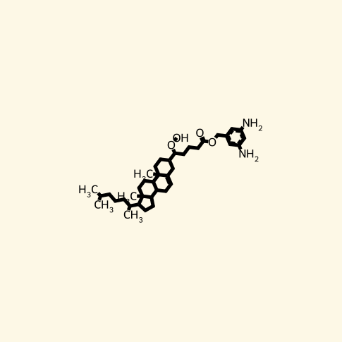 CC(C)CCCC(C)C1CCC2C3CC=C4CC(C(CCCC(=O)OCc5cc(N)cc(N)c5)OO)CCC4(C)C3CCC12C